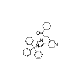 O=C(/C=C/c1cnccc1-c1cn(C(c2ccccc2)(c2ccccc2)c2ccccc2)cn1)C1CCCCC1